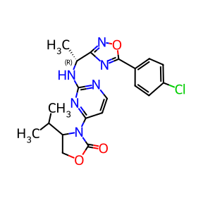 CC(C)C1COC(=O)N1c1ccnc(N[C@H](C)c2noc(-c3ccc(Cl)cc3)n2)n1